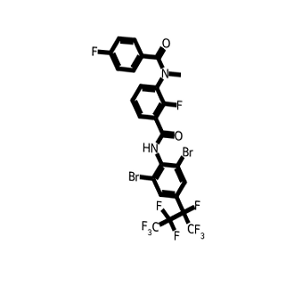 CN(C(=O)c1ccc(F)cc1)c1cccc(C(=O)Nc2c(Br)cc(C(F)(C(F)(F)F)C(F)(F)C(F)(F)F)cc2Br)c1F